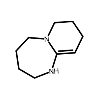 C1=C2NCCCCN2CCC1